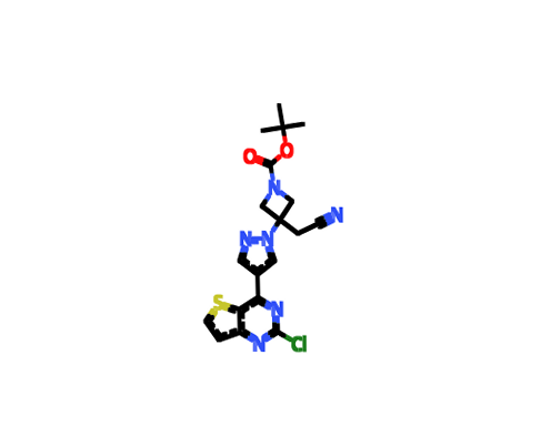 CC(C)(C)OC(=O)N1CC(CC#N)(n2cc(-c3nc(Cl)nc4ccsc34)cn2)C1